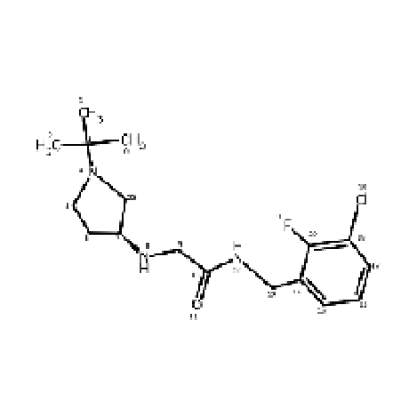 CC(C)(C)N1CC[C@H](NCC(=O)NCc2cccc(Cl)c2F)C1